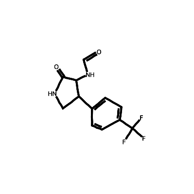 O=CNC1C(=O)NCC1c1ccc(C(F)(F)F)cc1